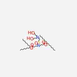 CCCCCCCC(CCCCCCC)OC(=O)CCCN(CCCC(=O)OC(CCCCCCC)CCCCCCC)C(=O)SCCCN(CCCO)CCCO